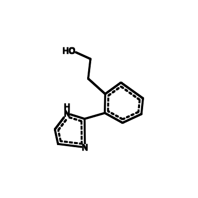 OCCc1ccccc1-c1ncc[nH]1